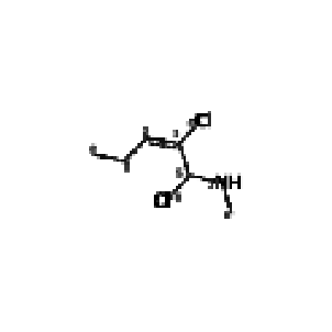 CC/C=C(/Cl)C(Cl)NC